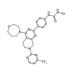 CCNC(=O)Nc1ccc(-c2nc3c(c(N4CCCOCC4)n2)CCN(c2nccc(C(F)(F)F)n2)C3)cc1